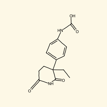 CCC1(c2ccc(NC(=O)O)cc2)CCC(=O)NC1=O